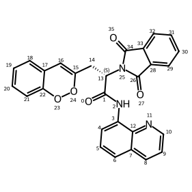 O=C(Nc1cccc2cccnc12)[C@H](CC1=Cc2ccccc2OO1)N1C(=O)c2ccccc2C1=O